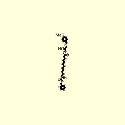 COc1ccc(COC[C@H](O)COC(=O)CCCCCCCCCCCNC(=O)OCc2ccccc2)cc1